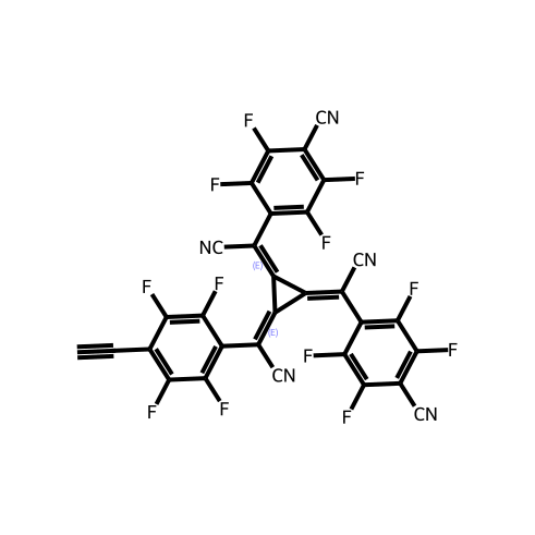 C#Cc1c(F)c(F)c(/C(C#N)=C2/C(=C(C#N)c3c(F)c(F)c(C#N)c(F)c3F)/C2=C(/C#N)c2c(F)c(F)c(C#N)c(F)c2F)c(F)c1F